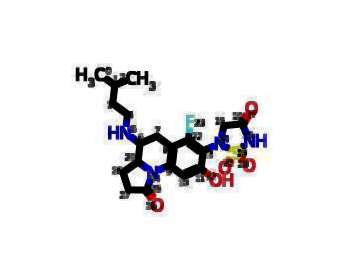 CC(C)CCNC1Cc2c(cc(O)c(N3CC(=O)NS3(=O)=O)c2F)N2C(=O)CCC12